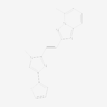 Cc1cccc2nc(C=Cc3nc(-c4cccs4)cn3C)nn12